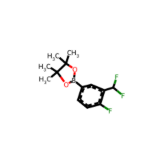 CC1(C)OB(c2ccc(F)c(C(F)F)c2)OC1(C)C